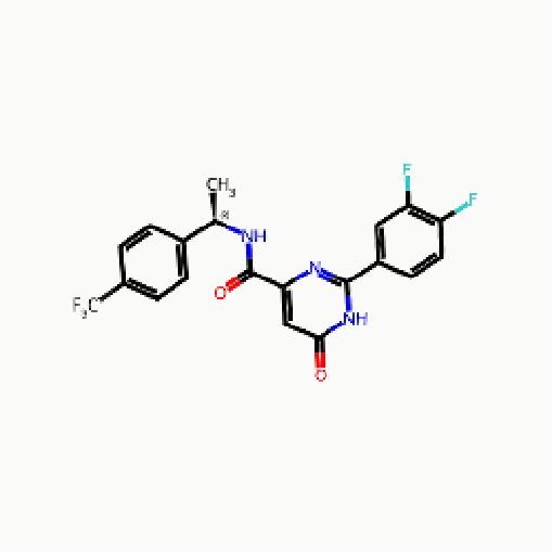 C[C@@H](NC(=O)c1cc(=O)[nH]c(-c2ccc(F)c(F)c2)n1)c1ccc(C(F)(F)F)cc1